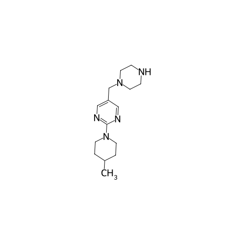 CC1CCN(c2ncc(CN3CCNCC3)cn2)CC1